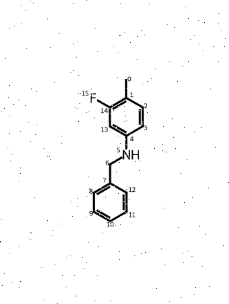 Cc1ccc(NCc2ccccc2)cc1F